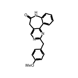 COc1ccc(Cc2ncc3c(n2)-c2ccccc2NC(=O)C3)cc1